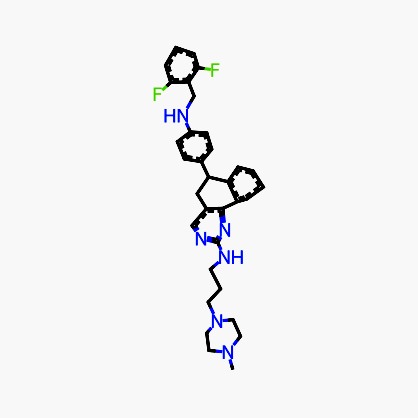 CN1CCN(CCCNc2ncc3c(n2)-c2ccccc2C(c2ccc(NCc4c(F)cccc4F)cc2)C3)CC1